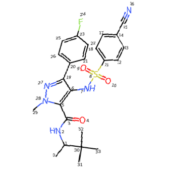 CC(NC(=O)c1c(NS(=O)(=O)c2ccc(C#N)cc2)c(-c2ccc(F)cc2)nn1C)C(C)(C)C